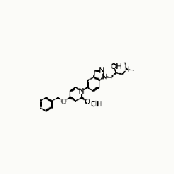 CN(C)CC(O)Cn1ncc2cc(-n3ccc(OCc4ccccc4)cc3=O)ccc21.Cl